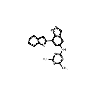 Cc1nc(C)nc(Nc2cc(-c3cc4ccccc4s3)c3[nH]ncc3c2)n1